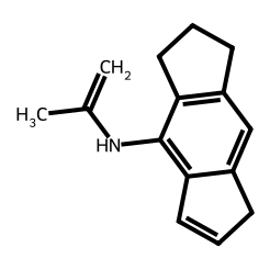 C=C(C)Nc1c2c(cc3c1CCC3)CC=C2